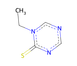 CCn1cncnc1=S